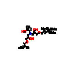 CCCCC(CC)COCC(O)CN(CC(C)O)CC(O)COCCC[Si](OC)(OC)OC